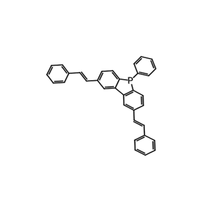 C(=C\c1ccc2c(c1)c1cc(/C=C/c3ccccc3)ccc1p2-c1ccccc1)/c1ccccc1